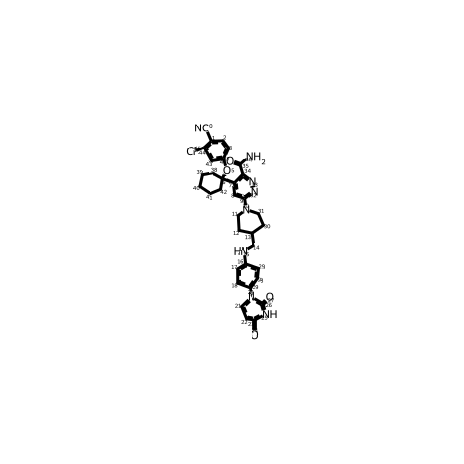 N#Cc1ccc(OC2(c3cc(N4CCC(CNc5ccc(-n6ccc(=O)[nH]c6=O)cc5)CC4)nnc3C(N)=O)CCCCC2)cc1Cl